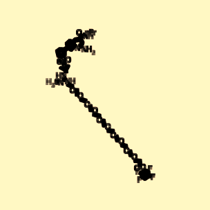 CCCNC(=O)C1=Cc2ccc(-c3cccc(S(=O)(=O)N4CC(CN/C(=N\C)NCCOCCOCCOCCOCCOCCOCCOCCOCCOCCOCCC(=O)Oc5c(F)c(F)cc(F)c5F)C4)c3)cc2N=C(N)C1